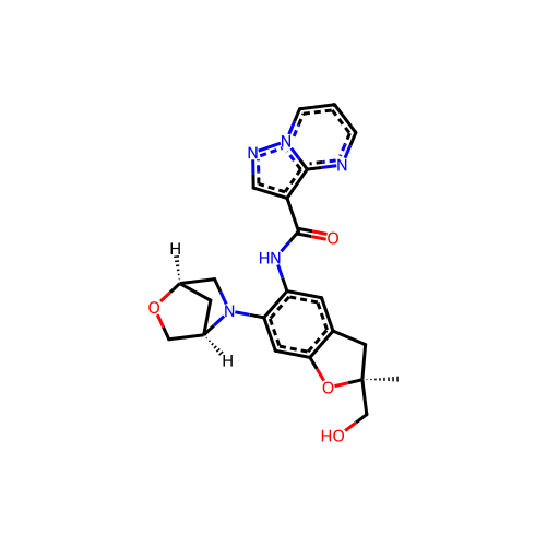 C[C@@]1(CO)Cc2cc(NC(=O)c3cnn4cccnc34)c(N3C[C@H]4C[C@@H]3CO4)cc2O1